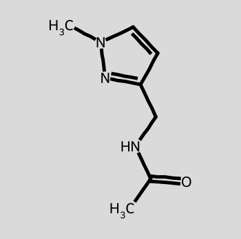 CC(=O)NCc1ccn(C)n1